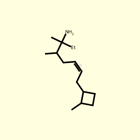 CCC(C)(N)C(C)C/C=C\CC1CCC1C